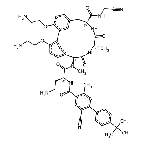 Cc1nc(-c2ccc(C(C)(C)C)cc2)c(C#N)cc1C(=O)N[C@@H](CCN)C(=O)N(C)[C@@H]1C(=O)N[C@@H](C)C(=O)N[C@H](C(=O)NCC#N)Cc2ccc(OCCN)c(c2)-c2cc1ccc2OCCN